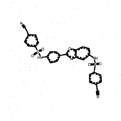 N#Cc1ccc(S(=O)(=O)Nc2ccc(-c3nc4cc(NS(=O)(=O)c5ccc(C#N)cc5)ccc4o3)cc2)cc1